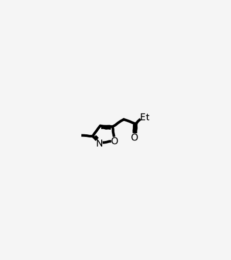 CCC(=O)Cc1cc(C)no1